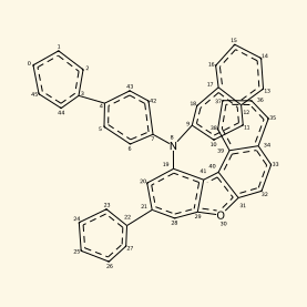 c1ccc(-c2ccc(N(c3ccc4ccccc4c3)c3cc(-c4ccccc4)cc4oc5ccc6ccccc6c5c34)cc2)cc1